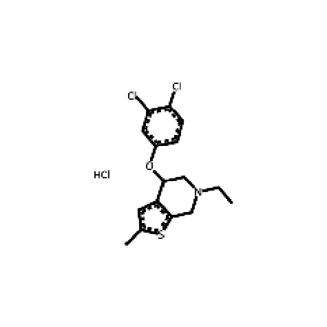 CCN1Cc2sc(C)cc2C(Oc2ccc(Cl)c(Cl)c2)C1.Cl